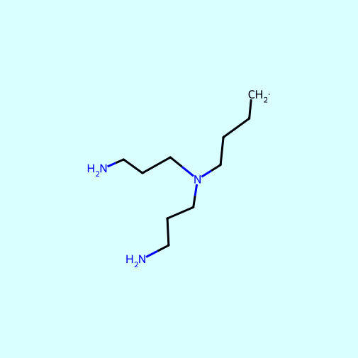 [CH2]CCCN(CCCN)CCCN